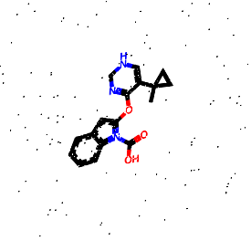 CC1(C2=CNCN=C2Oc2cc3ccccc3n2C(=O)O)CC1